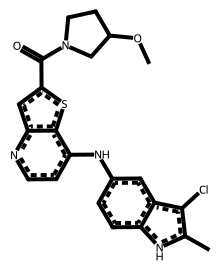 COC1CCN(C(=O)c2cc3nccc(Nc4ccc5[nH]c(C)c(Cl)c5c4)c3s2)C1